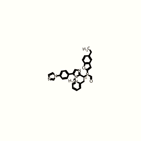 CCc1ccc2oc(N(C=O)[C@@H](Cc3ccccn3)c3ncc(-c4ccc(-n5ccnc5)cc4)n3C)cc2c1